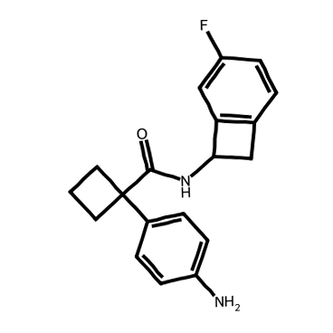 Nc1ccc(C2(C(=O)NC3Cc4ccc(F)cc43)CCC2)cc1